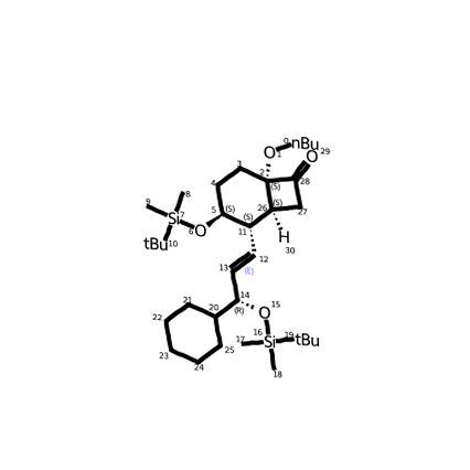 CCCCO[C@@]12CC[C@H](O[Si](C)(C)C(C)(C)C)[C@@H](/C=C/[C@H](O[Si](C)(C)C(C)(C)C)C3CCCCC3)[C@@H]1CC2=O